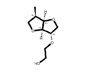 C[C@@H]1CO[C@H]2[C@@H]1OC[C@@H]2OCCO